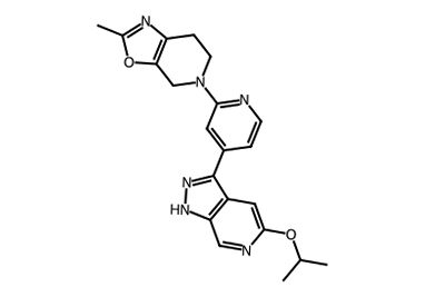 Cc1nc2c(o1)CN(c1cc(-c3n[nH]c4cnc(OC(C)C)cc34)ccn1)CC2